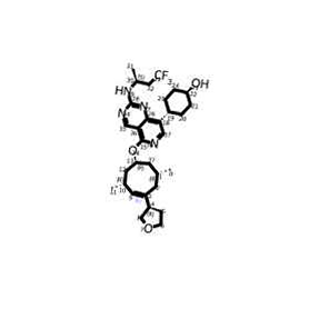 C[C@@H]1C/C([C@H]2CCOC2)=C\[C@H](C)C[C@H](Oc2ncc([C@H]3CC[C@H](O)CC3)c3nc(N[C@@H](C)CC(F)(F)F)ncc23)C1